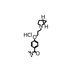 CN(C)C(=O)c1ccc(OCCCN2CC[C@@H]3C[C@@H]32)cc1.Cl